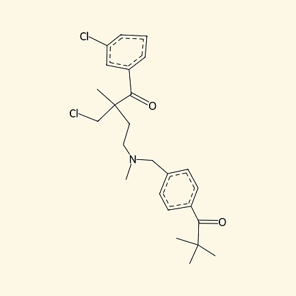 CN(CCC(C)(CCl)C(=O)c1cccc(Cl)c1)Cc1ccc(C(=O)C(C)(C)C)cc1